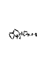 N=C1C=CN(c2ccc3ccccc3n2)C1